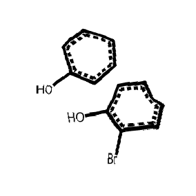 Oc1ccccc1.Oc1ccccc1Br